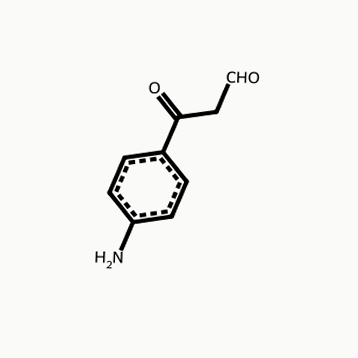 Nc1ccc(C(=O)CC=O)cc1